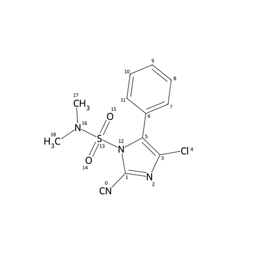 [C-]#[N+]c1nc(Cl)c(-c2ccccc2)n1S(=O)(=O)N(C)C